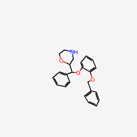 c1ccc(COc2ccccc2OC(c2ccccc2)C2CNCCO2)cc1